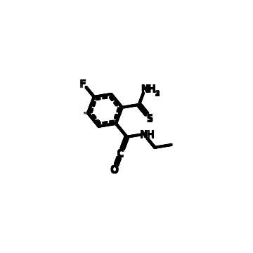 CCNC(=C=O)c1c[c]c(F)cc1C(N)=S